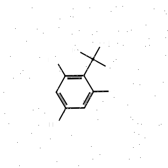 Oc1cc(O)c(C(O)(O)O)c(O)c1